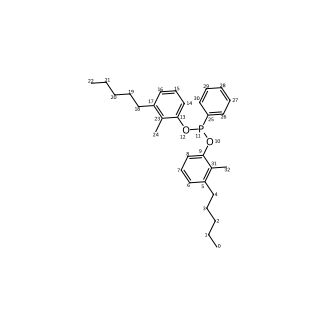 CCCCCc1cccc(OP(Oc2cccc(CCCCC)c2C)c2ccccc2)c1C